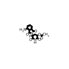 CC(=O)OC1CC(F)(N2C(=O)c3cccc(N)c3C2=O)C(=O)NC1=O